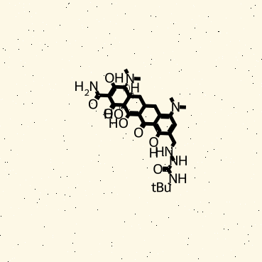 CN(C)c1cc(CNNC(=O)NC(C)(C)C)c(O)c2c1CC1C[C@H]3[C@H](N(C)C)C(O)=C(C(N)=O)C(=O)[C@@]3(O)C(O)=C1C2=O